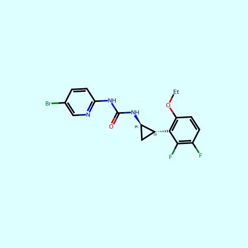 CCOc1ccc(F)c(F)c1[C@@H]1C[C@H]1NC(=O)Nc1ccc(Br)cn1